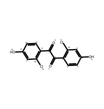 O=C(C(=O)c1ccc(O)cc1Cl)c1ccc(O)cc1Cl